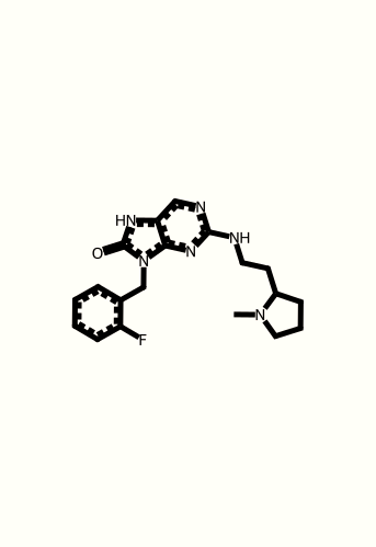 CN1CCCC1CCNc1ncc2[nH]c(=O)n(Cc3ccccc3F)c2n1